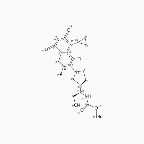 Cc1c(N2CC[C@@H]([C@H](CC#N)NC(=O)OC(C)(C)C)C2)c(F)cc2c(=O)[nH]c(=O)n(C3CC3)c12